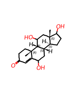 C[C@]12CCC(=O)C=C1C(O)C[C@@H]1[C@H]2C(O)C[C@]2(C)C(O)CC[C@@H]12